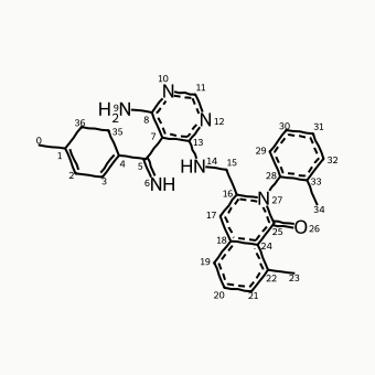 CC1=CC=C(C(=N)c2c(N)ncnc2NCc2cc3cccc(C)c3c(=O)n2-c2ccccc2C)CC1